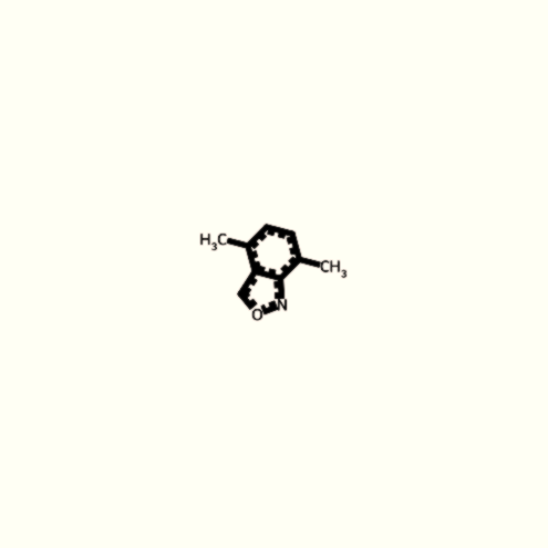 Cc1ccc(C)c2nocc12